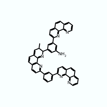 CC1C=c2ccc3ccc(-c4cccc(-c5ccc6ccc7cccnc7c6n5)c4)nc3c2=NC1c1cc(N)cc(-c2ccc3ccc4cccnc4c3n2)c1